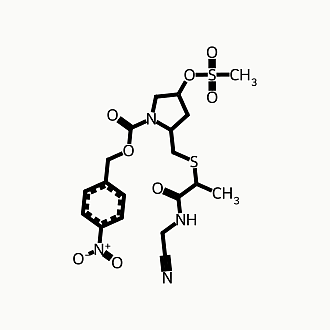 CC(SCC1CC(OS(C)(=O)=O)CN1C(=O)OCc1ccc([N+](=O)[O-])cc1)C(=O)NCC#N